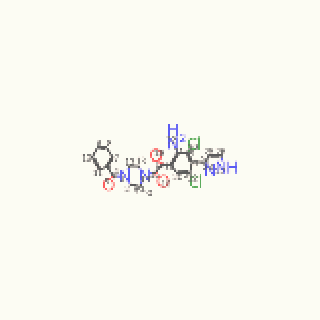 C[C@@H]1CN(C(=O)c2ccccc2)CCN1C(=O)C(=O)c1cc(Cl)c(-c2cc[nH]n2)c(Cl)c1N